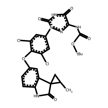 CC1CC12C(=O)Nc1ccc(Oc3c(Cl)cc(-n4nc(NC(=O)OC(C)(C)C)c(=O)[nH]c4=O)cc3Cl)cc12